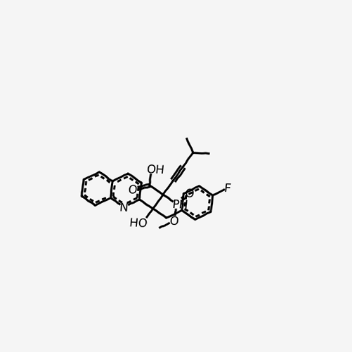 CO[PH](=O)C(C#CC(C)C)(C(=O)O)C(O)(Cc1ccc(F)cc1)c1ccc2ccccc2n1